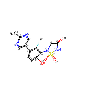 Cc1ncc(-c2ccc(O)c(N3CC(=O)NS3(=O)=O)c2F)cn1